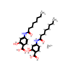 CCCCCCCC(=O)Nc1ccc(C(=O)[O-])c(O)c1.CCCCCCCC(=O)Nc1ccc(C(=O)[O-])c(O)c1.[Zn+2]